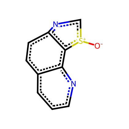 [O-][s+]1cnc2ccc3cccnc3c21